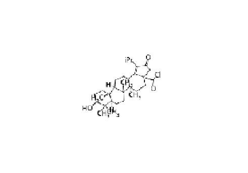 CC(C)C1=C2C3CC[C@@H]4[C@@]5(C)CC[C@H](O)C(C)(C)[C@@H]5CC[C@@]4(C)[C@]3(C)CC[C@@]2(C(=O)Cl)CC1=O